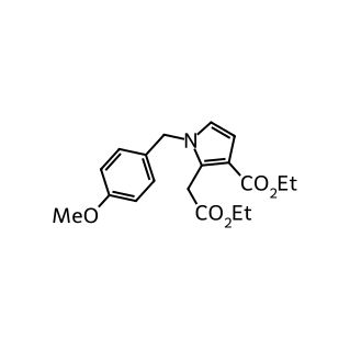 CCOC(=O)Cc1c(C(=O)OCC)ccn1Cc1ccc(OC)cc1